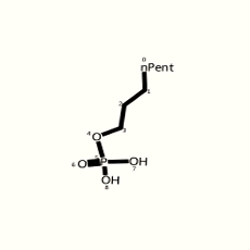 CCCCCCCCOP(=O)(O)O